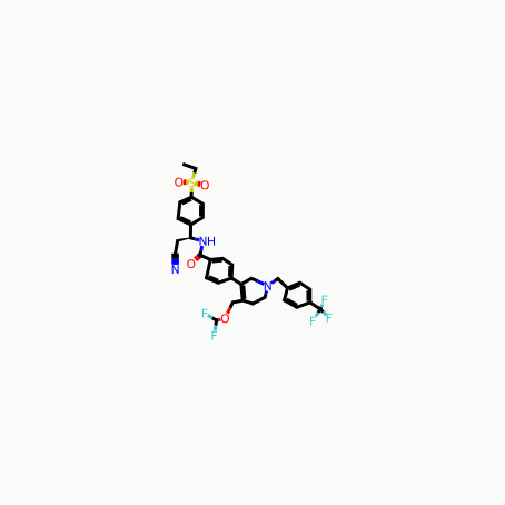 CCS(=O)(=O)c1ccc([C@H](CC#N)NC(=O)c2ccc(C3=C(COC(F)F)CCN(Cc4ccc(C(F)(F)F)cc4)C3)cc2)cc1